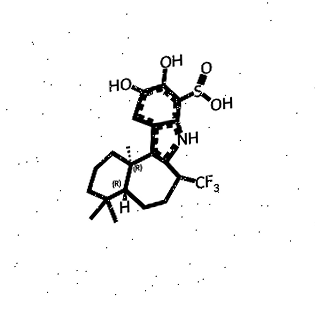 CC1(C)CCC[C@@]2(C)c3c([nH]c4c(S(=O)O)c(O)c(O)cc34)C(C(F)(F)F)CC[C@H]12